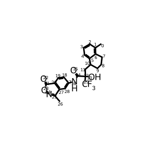 Cc1cccc2c1CCCC2CC(O)(C(=O)Nc1ccc2c(=O)onc(C)c2c1)C(F)(F)F